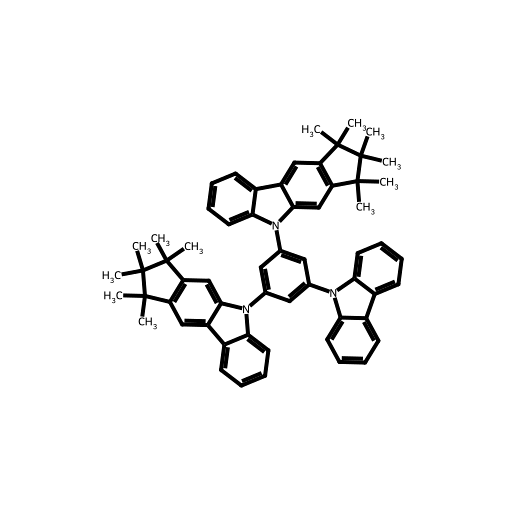 CC1(C)c2cc3c4ccccc4n(-c4cc(-n5c6ccccc6c6ccccc65)cc(-n5c6ccccc6c6cc7c(cc65)C(C)(C)C(C)(C)C7(C)C)c4)c3cc2C(C)(C)C1(C)C